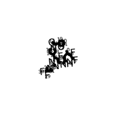 Cc1c(F)c(F)nc(Nc2cc(C3CCN(C(=O)C4CCCO4)C3)nc(N3CC(F)(F)C3)n2)c1F